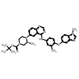 Cc1cc(Nc2ncnc3ccc(N4CCN(C(=O)OC(C)(C)C)C[C@@H]4C)cc23)ccc1Oc1ccc2c(c1)ncn2C